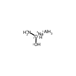 NOO.[AlH3].[NaH]